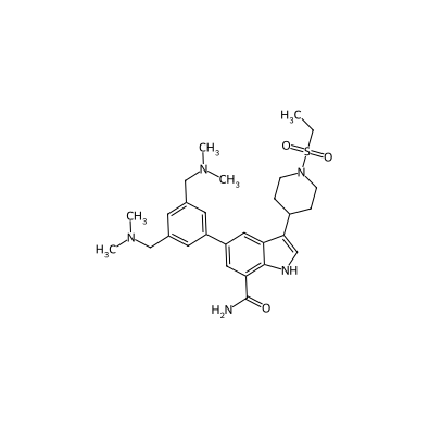 CCS(=O)(=O)N1CCC(c2c[nH]c3c(C(N)=O)cc(-c4cc(CN(C)C)cc(CN(C)C)c4)cc23)CC1